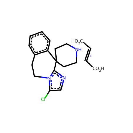 Clc1cnc2n1CCc1ccccc1C21CCNCC1.O=C(O)/C=C/C(=O)O